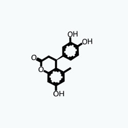 Cc1cc(O)cc2c1[C@H](c1ccc(O)c(O)c1)CC(=O)O2